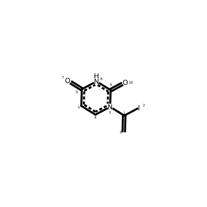 C=C(I)n1ccc(=O)[nH]c1=O